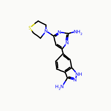 Nc1nc(-c2ccc3c(N)n[nH]c3c2)cc(N2CCSCC2)n1